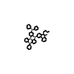 C=C/C=C\c1c(C)c2ccccc2c2cc(N3c4cc(N(c5ccccc5)c5ccccc5)ccc4B4c5ccccc5N(c5ccccc5)c5cccc3c54)ccc12